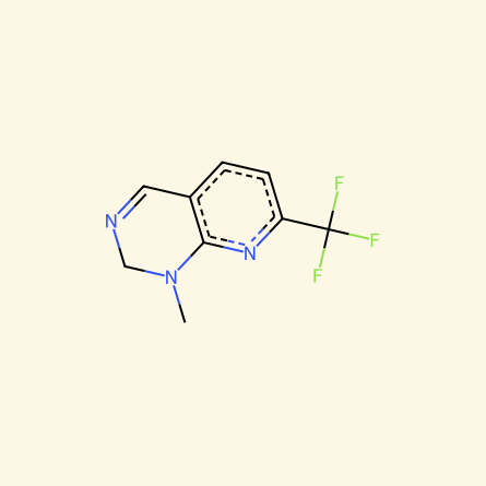 CN1CN=Cc2ccc(C(F)(F)F)nc21